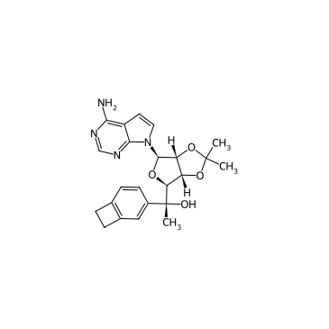 CC1(C)O[C@@H]2[C@H](O1)[C@@H]([C@](C)(O)c1ccc3c(c1)CC3)O[C@H]2n1ccc2c(N)ncnc21